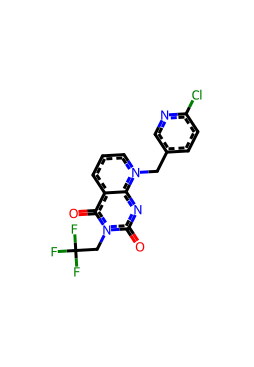 O=c1nc2n(Cc3ccc(Cl)nc3)cccc-2c(=O)n1CC(F)(F)F